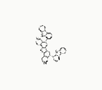 c1ccc2c(c1)sc1c(-c3cc4c5cc(-c6cccc7c6sc6ccccc67)c6cnccc6c5sc4c4ccncc34)cccc12